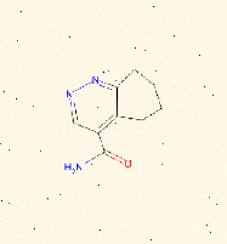 NC(=O)c1cnnc2c1CCCC2